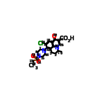 CC1CCc2c(N3CCN(S(=O)(=O)CC(F)(F)F)CC3)c(Cl)cc3c(=O)c(C(=O)O)cn1c23